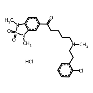 CN(CCCCC(=O)c1ccc2c(c1)N(C)S(=O)(=O)N2C)CCc1ccccc1Cl.Cl